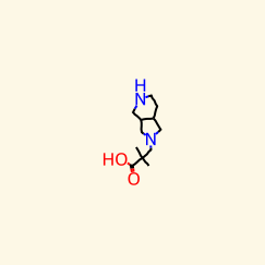 CC(C)(CN1CC2CCNCC2C1)C(=O)O